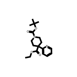 CCOC(=O)C1(c2ccccn2)CCN(C(=O)OC(C)(C)C)CC1